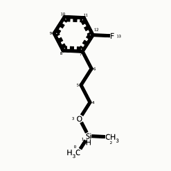 C[SiH](C)OCCCc1ccccc1F